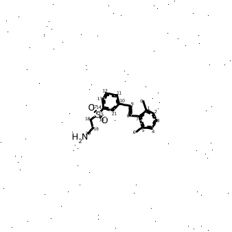 Cc1cccc(C)c1C=Cc1cccc(S(=O)(=O)CCN)c1